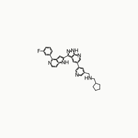 Fc1cccc(-c2nccc3[nH]c(-c4n[nH]c5ncc(-c6cncc(CNCC7CCCC7)c6)cc45)cc23)c1